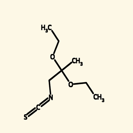 CCOC(C)(CN=C=S)OCC